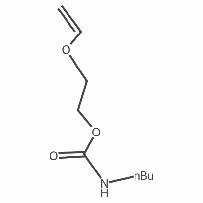 C=COCCOC(=O)NCCCC